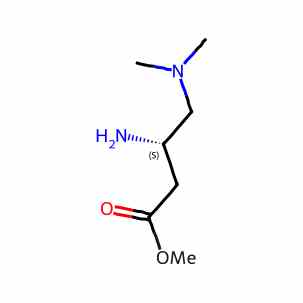 COC(=O)C[C@H](N)CN(C)C